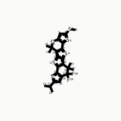 CSc1cc2c(s1)-c1sc3c4c(sc3c1C(C)(C)O2)-c1sc(C(C)C)cc1C(F)(F)C4(C)C